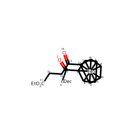 CCCCCCCCCCC(=O)[C]12[CH]3[CH]4[CH]5[CH]1[Fe]45321678[CH]2[CH]1[CH]6[C]7(C(=O)CCC(=O)OCC)[CH]28